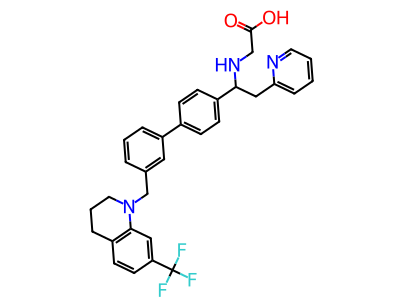 O=C(O)CNC(Cc1ccccn1)c1ccc(-c2cccc(CN3CCCc4ccc(C(F)(F)F)cc43)c2)cc1